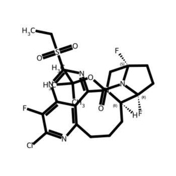 CCS(=O)(=O)c1nc2c3c(nc(Cl)c(F)c3n1)CCC[C@H]1N2C[C@@]2(F)CC[C@]1(F)N2C(=O)OC(C)(C)C